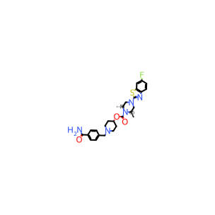 C[C@@H]1CN(c2nc3ccc(F)cc3s2)C[C@@H](C)N1C(=O)OC1CCN(Cc2ccc(C(N)=O)cc2)CC1